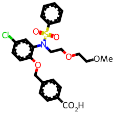 COCCOCCN(c1cc(Cl)ccc1OCc1ccc(C(=O)O)cc1)S(=O)(=O)c1ccccc1